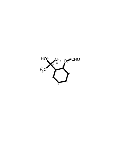 O=COC1CCCCC1C(O)(C(F)(F)F)C(F)(F)F